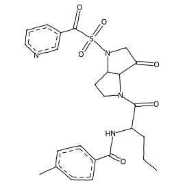 CCCC(NC(=O)c1ccc(C)cc1)C(=O)N1CCC2C1C(=O)CN2S(=O)(=O)C(=O)c1cccnc1